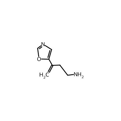 C=C(CCN)c1cnco1